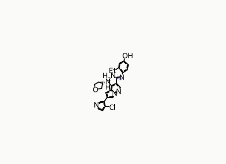 CCc1cc(O)ccc1/N=C(\N)c1cnn2cc(-c3cnccc3Cl)cc2c1N[C@H]1CCOC1